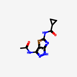 CC(=O)Nc1n[nH]c2nc(NC(=O)C3CC3)sc12